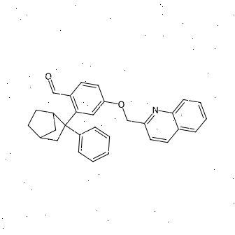 O=Cc1ccc(OCc2ccc3ccccc3n2)cc1C1(c2ccccc2)CC2CCC1C2